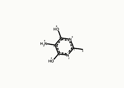 Cc1nc(O)c(N)c(O)n1